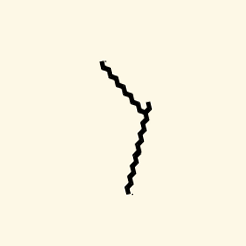 [CH2]CCCCCC/C=C/CCCCCCC(CC)CCCCCCCCCCC[CH2]